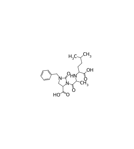 CC(C)CCC(NC(C)C(=O)N1C(=O)N(Cc2ccccc2)CC1C(=O)O)C(=O)O